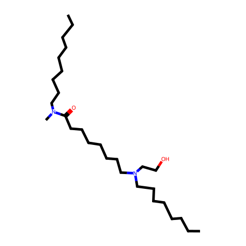 CCCCCCCCCN(C)C(=O)CCCCCCCN(CCO)CCCCCCCC